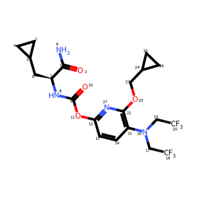 NC(=O)[C@H](CC1CC1)NC(=O)Oc1ccc(N(CC(F)(F)F)CC(F)(F)F)c(OCC2CC2)n1